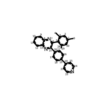 Cc1cc(C)c(-c2nc3ccccc3nc2-c2ccc(-c3ccncc3)cc2)c(C)c1